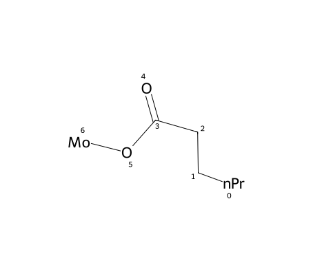 CCCCCC(=O)[O][Mo]